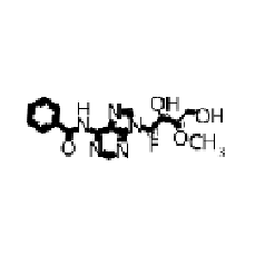 CO[C@H](CO)[C@@H](O)[C@@H](F)n1cnc2c(NC(=O)c3ccccc3)ncnc21